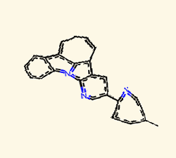 Cc1ccc(-c2cnc3c(c2)c2c4c(c5ccccc5n43)=CCC=C2)nc1